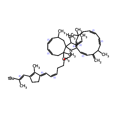 C=C1/C=C\C(N(CCCC/C=C\C=C2/CCC(/C=C(\C)C(C)(C)C)=C2C)C2(C(C)/C=C\C)CC(C)/C=C\C=C/CC2(C)C)=C/C(C)(C)C/C=C\C=C/C1C